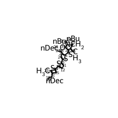 C=C1c2c(C)sc(-c3sc(-c4ccc(-c5cc(CCCCCCCCCCCC)c(C)s5)s4)cc3CCCCCCCCCCCC)c2C(=O)N1C(CCCC)CCCC